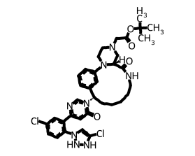 CC(C)(C)OC(=O)CN1CCN2c3cccc(c3)[C@@H](n3cnc(-c4cc(Cl)ccc4N4C=C(Cl)NN4)cc3=O)CCCCCNC(=O)[C@H]2C1